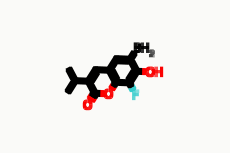 Bc1cc2cc(C(C)C)c(=O)oc2c(F)c1O